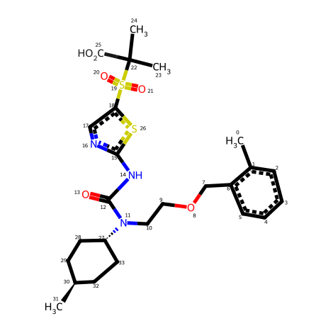 Cc1ccccc1COCCN(C(=O)Nc1ncc(S(=O)(=O)C(C)(C)C(=O)O)s1)[C@H]1CC[C@H](C)CC1